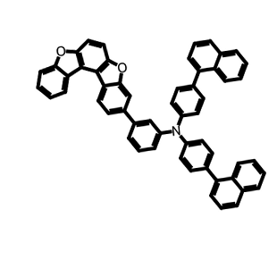 c1cc(-c2ccc3c(c2)oc2ccc4oc5ccccc5c4c23)cc(N(c2ccc(-c3cccc4ccccc34)cc2)c2ccc(-c3cccc4ccccc34)cc2)c1